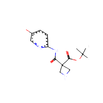 CC(C)(C)OC(=O)C1(C(=O)Nc2ccc(O)cn2)CNC1